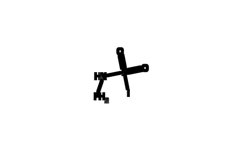 O=S(=O)(I)NP